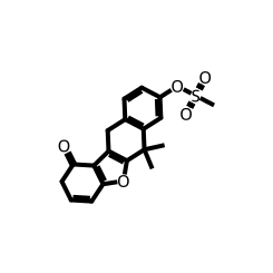 CC1(C)c2cc(OS(C)(=O)=O)ccc2Cc2c1oc1c2C(=O)CC=C1